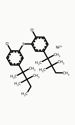 CCC(C)(C)C(C)(C)c1ccc([O-])c(Sc2cc(C(C)(C)C(C)(C)CC)ccc2[O-])c1.[Ni+2]